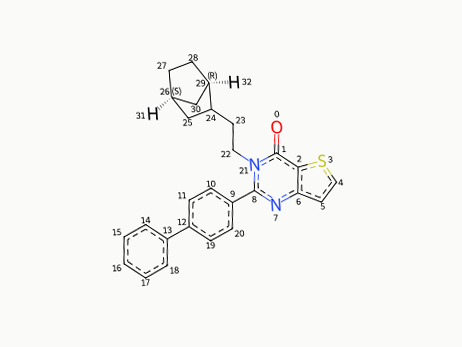 O=c1c2sccc2nc(-c2ccc(-c3ccccc3)cc2)n1CCC1C[C@H]2CC[C@@H]1C2